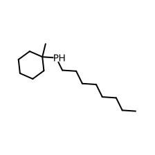 CCCCCCCCPC1(C)CCCCC1